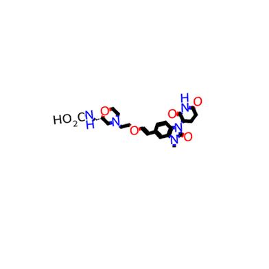 Cn1c(=O)n(C2CCC(=O)NC2=O)c2ccc(/C=C/OCCN3CCO[C@@H](CNC(=O)O)C3)cc21